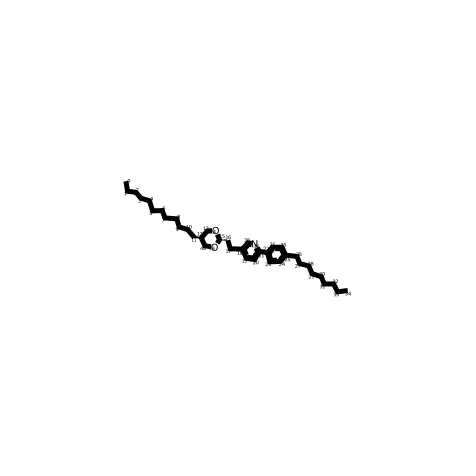 CCCCCCCCCCCC[C@H]1CO[C@H](CCc2ccc(-c3ccc(CCCCCCCCC)cc3)nc2)OC1